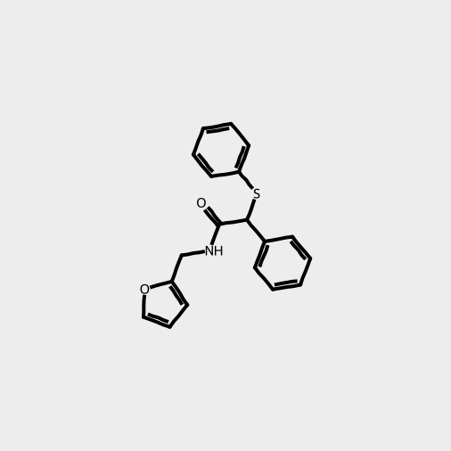 O=C(NCc1ccco1)C(Sc1ccccc1)c1ccccc1